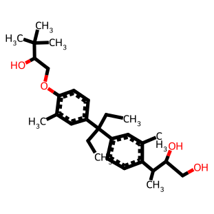 CCC(CC)(c1ccc(OCC(O)C(C)(C)C)c(C)c1)c1ccc(C(C)C(O)CO)c(C)c1